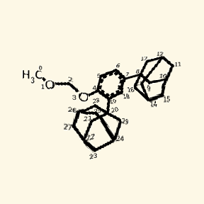 COCOc1ccc(C23CC4CC(CC(C4)C2)C3)cc1C12CC3CC(CC(C3)C1)C2